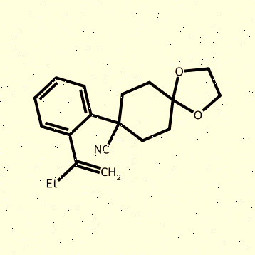 C=C(CC)c1ccccc1C1(C#N)CCC2(CC1)OCCO2